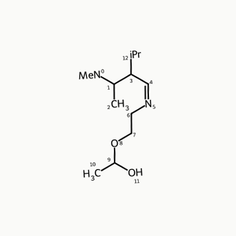 CNC(C)C(/C=N\CCOC(C)O)C(C)C